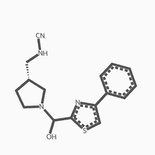 N#CNC[C@H]1CCN(C(O)c2nc(-c3ccccc3)cs2)C1